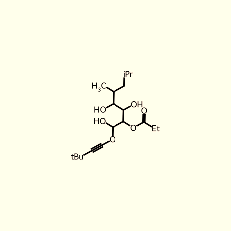 CCC(=O)OC(C(O)OC#CC(C)(C)C)C(O)C(O)C(C)CC(C)C